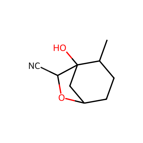 CC1CCC2CC1(O)C(C#N)O2